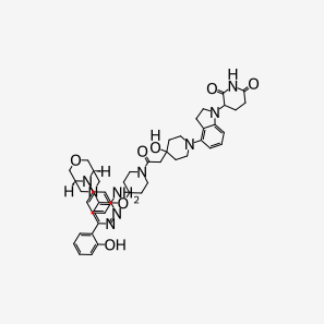 Nc1nnc(-c2ccccc2O)cc1N1C[C@H]2COC[C@@H](C1)N2c1cccc(OC2CCN(C(=O)CC3(O)CCN(c4cccc5c4CCN5C4CCC(=O)NC4=O)CC3)CC2)c1